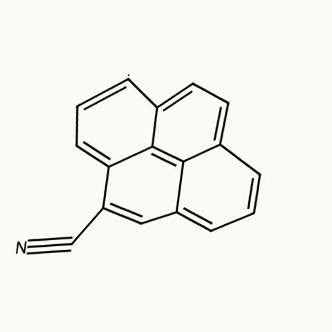 N#Cc1cc2cccc3ccc4[c]ccc1c4c32